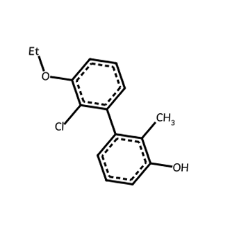 CCOc1cccc(-c2cccc(O)c2C)c1Cl